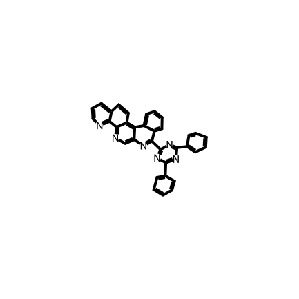 c1ccc(-c2nc(-c3ccccc3)nc(-c3nc4cnc5c(ccc6cccnc65)c4c4ccccc34)n2)cc1